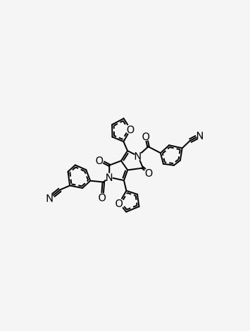 N#Cc1cccc(C(=O)N2C(=O)C3=C(c4ccco4)N(C(=O)c4cccc(C#N)c4)C(=O)C3=C2c2ccco2)c1